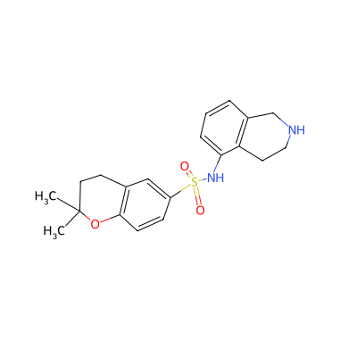 CC1(C)CCc2cc(S(=O)(=O)Nc3cccc4c3CCNC4)ccc2O1